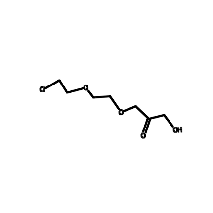 O=C(CO)COCCOCCCl